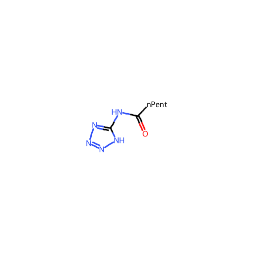 CCCCCC(=O)Nc1nnn[nH]1